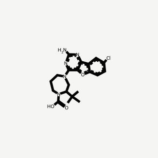 CC(C)(C)C1CN(c2nc(N)nc3c2oc2ccc(Cl)cc23)CCCN1C(=O)O